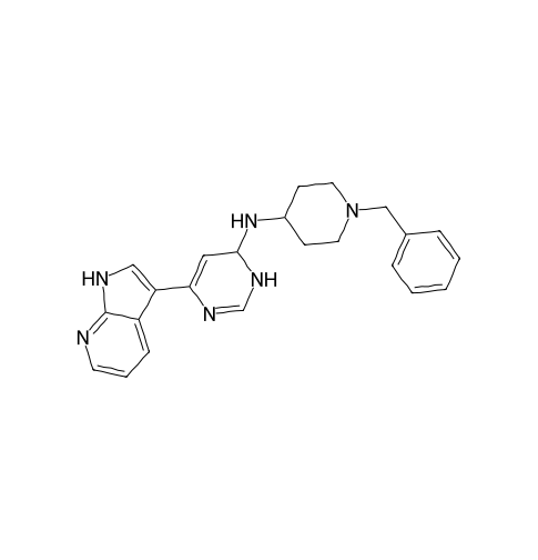 C1=NC(c2c[nH]c3ncccc23)=CC(NC2CCN(Cc3ccccc3)CC2)N1